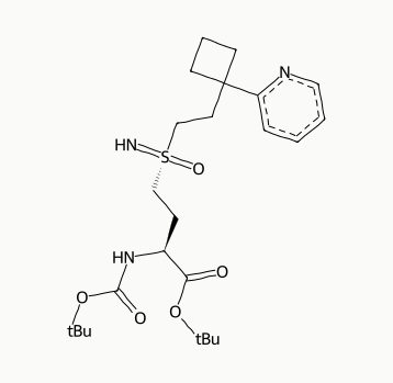 CC(C)(C)OC(=O)N[C@@H](CC[S@@](=N)(=O)CCC1(c2ccccn2)CCC1)C(=O)OC(C)(C)C